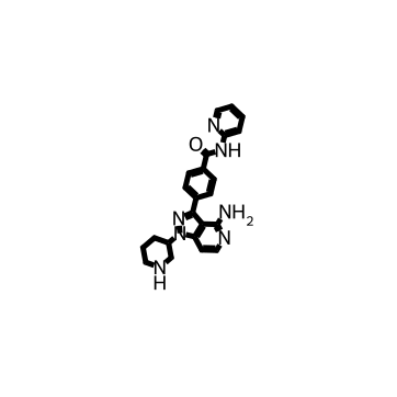 Nc1nccc2c1c(-c1ccc(C(=O)Nc3ccccn3)cc1)nn2C1CCCNC1